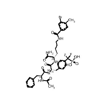 CC(=O)N[C@@H](Cc1ccccc1)C(=O)N[C@@H](Cc1ccc(C(F)(F)P(=O)(O)O)cc1)C(=O)N[C@@H](CCCCNC(=O)c1ccc(C)c(Br)c1)C(N)=O